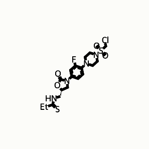 CCC(=S)NC[C@H]1CN(c2ccc(N3CCN(S(=O)(=O)CCl)CC3)c(F)c2)C(=O)O1